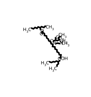 CCCCCCC(CCCC)COC(=O)CCCCCCCCC(CCCCCCCCC(O)OCC(CCCC)CCCCCC)N(CCCN(C)C)C(=O)C(CC)CCCCC